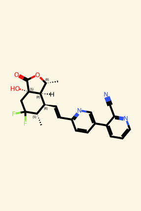 C[C@H]1OC(=O)[C@]2(O)CC(F)(F)[C@@H](C)[C@H](C=Cc3ccc(-c4cccnc4C#N)cn3)[C@H]12